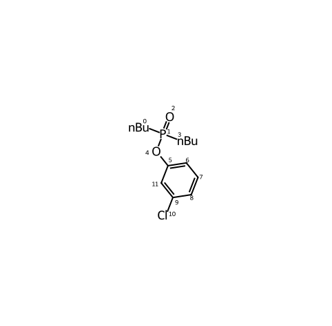 CCCCP(=O)(CCCC)Oc1cccc(Cl)c1